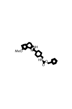 COc1ccc2c(c1)-c1nc(C3CCC(CNC(=O)OCc4ccccc4)CC3)[nH]c1CC2